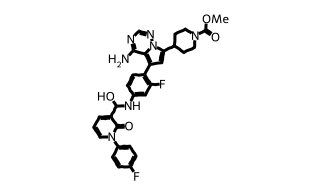 COC(=O)N1CCC(c2cc(-c3ccc(NC(O)c4cccn(-c5ccc(F)cc5)c4=O)cc3F)c3c(N)ncnn23)CC1